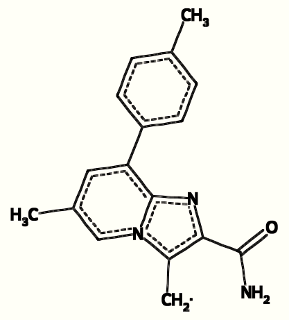 [CH2]c1c(C(N)=O)nc2c(-c3ccc(C)cc3)cc(C)cn12